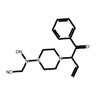 C=CC(C(=O)c1ccccc1)N1CCN(N(CC#N)N=O)CC1